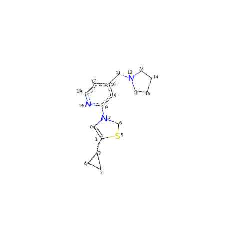 C1=C(C2CC2)SCN1c1cc(CN2CCCC2)ccn1